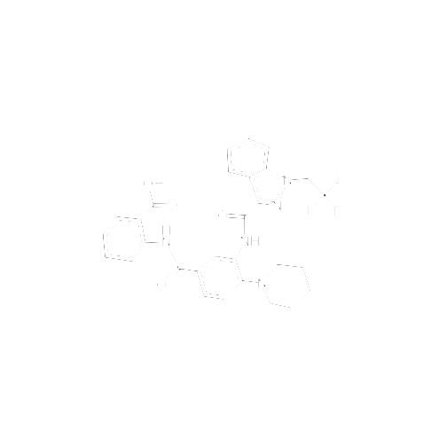 O=C(Nc1ccccc1C(=O)O)c1ccc(N2CCCCC2)c(NC(=O)c2nn(CC(F)(F)F)c3ccccc23)c1